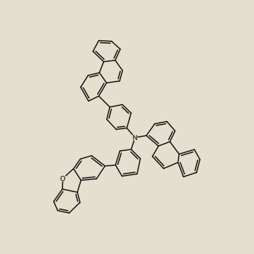 c1cc(-c2ccc3oc4ccccc4c3c2)cc(N(c2ccc(-c3cccc4c3ccc3ccccc34)cc2)c2cccc3c2ccc2ccccc23)c1